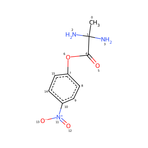 CC(N)(N)C(=O)Oc1ccc([N+](=O)[O-])cc1